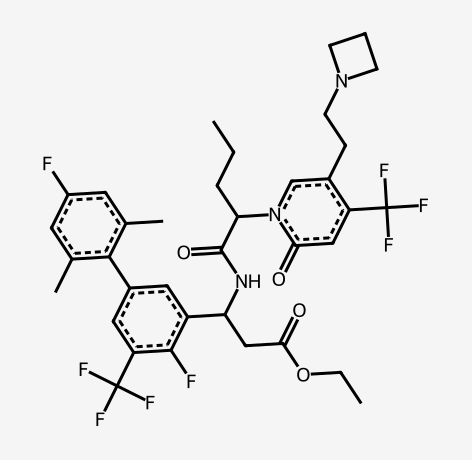 CCCC(C(=O)NC(CC(=O)OCC)c1cc(-c2c(C)cc(F)cc2C)cc(C(F)(F)F)c1F)n1cc(CCN2CCC2)c(C(F)(F)F)cc1=O